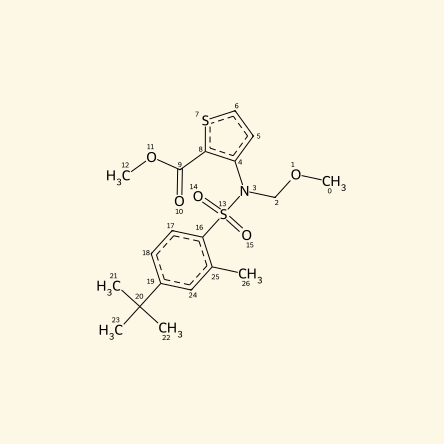 COCN(c1ccsc1C(=O)OC)S(=O)(=O)c1ccc(C(C)(C)C)cc1C